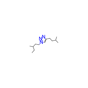 CCC(C)CCn1cc(CCC(C)C)nn1